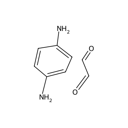 Nc1ccc(N)cc1.O=CC=O